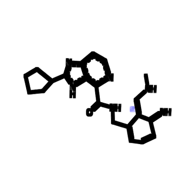 CN/C=C1\C(=N)C=CC=C1CNC(=O)c1nccc2nc(C3CCCC3)[nH]c12